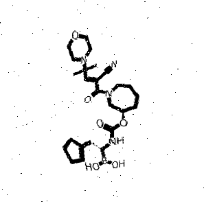 CC(C)(/C=C(\C#N)C(=O)N1CCCC[C@@H](OC(=O)N[C@@H](CC2=CCCC2)B(O)O)C1)N1CCOCC1